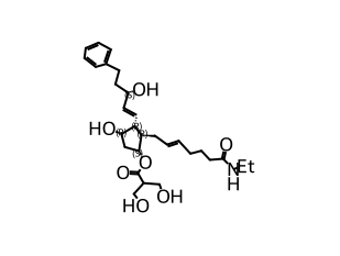 CCNC(=O)CCCC=CC[C@@H]1[C@@H](C=C[C@@H](O)CCc2ccccc2)[C@H](O)C[C@@H]1OC(=O)C(CO)CO